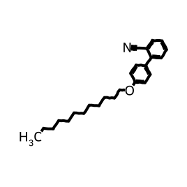 CCCCCCCCCCCCOc1ccc(-c2ccccc2C#N)cc1